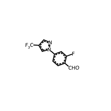 O=Cc1ccc(-n2cc(C(F)(F)F)cn2)cc1F